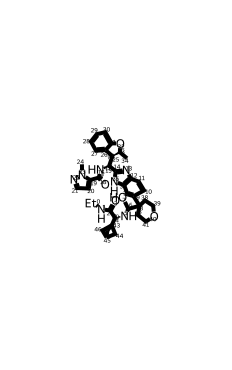 CCNC(=O)[C@H](NC(O)C1(c2ccc3nc([C@@H](NC(=O)c4ccnn4C)[C@H]4c5ccccc5OC4C)[nH]c3c2)CCOCC1)C12CC(C1)C2